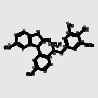 CC(C)(C)c1ccc2c(c1)C(c1cc(C(C)(C)C)ccc1C(Cc1cc(C(C)(C)C)c(O)c(C(C)(C)C)c1)C(=O)O)C(=O)O2